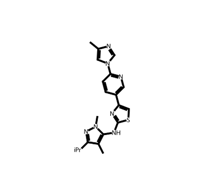 Cc1cn(-c2ccc(-c3csc(Nc4c(C)c(C(C)C)nn4C)n3)cn2)cn1